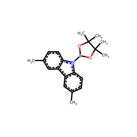 Cc1ccc2c(c1)c1cc(C)ccc1n2B1OC(C)(C)C(C)(C)O1